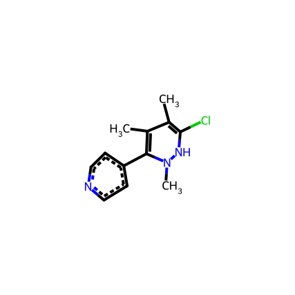 CC1=C(Cl)NN(C)C(c2ccncc2)=C1C